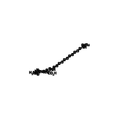 CC(C)(C)OC(=O)NCCOCCOCCOCCOCCOCCOCCOCCOCCOCCOCCOCCNC(=O)CC[C@H](NC(=O)c1ccc(NCc2cnc3nc(N)[nH]c(=O)c3n2)cc1)C(=O)O